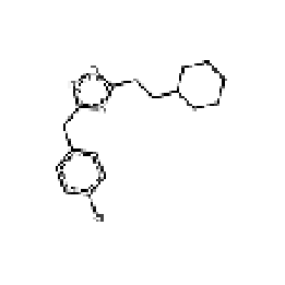 Clc1ccc(Cc2noc(CCC3CC[CH]CC3)n2)cc1